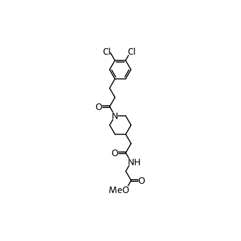 COC(=O)CNC(=O)CC1CCN(C(=O)CCc2ccc(Cl)c(Cl)c2)CC1